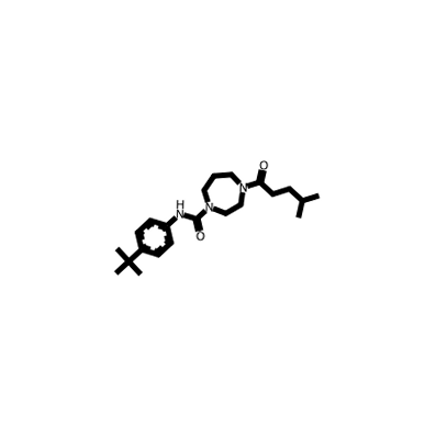 CC(C)CCC(=O)N1CCCN(C(=O)Nc2ccc(C(C)(C)C)cc2)CC1